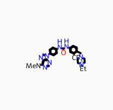 CCN1CCN(Cc2ccc(NC(=O)Nc3ccc(-n4cnc5c(NC)ncnc54)cc3)cc2C(F)(F)F)CC1